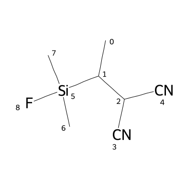 CC(C(C#N)C#N)[Si](C)(C)F